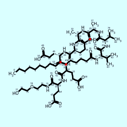 CCCCCCCCCCCCCCCC(=O)N[C@H](C(=O)N[C@H](C(=O)N[C@@H](C)C(=O)N[C@@H](C)C(=O)N[C@@H](CCC(=O)O)C(=O)N[C@@H](CCC(=O)O)C(=O)NC(CCC(=O)O)C(=O)N[C@@H](CCC(=O)O)C(=O)NCCOCCO)C(C)C)C(C)C